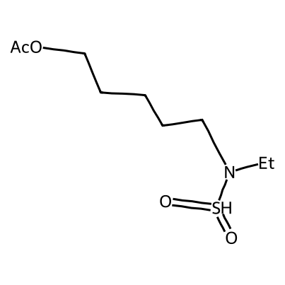 CCN(CCCCCOC(C)=O)[SH](=O)=O